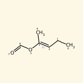 CC/C=C(\C)O[C]=O